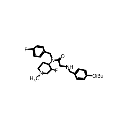 CC(C)COc1ccc(CNCC(=O)N(Cc2ccc(F)cc2)[C@@H]2CCN(C)C[C@@H]2F)cc1